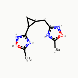 Cc1nc(C2CC2Cc2noc(C(C)(C)C)n2)no1